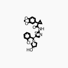 O=C(Nc1ncc([C@H](c2ccccc2Cl)N2CC[C@@H](O)C2)s1)C1(c2ccc3c(c2)OCO3)CC1